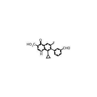 O=Cc1cccc(-c2c(F)cc3c(=O)c(C(=O)O)c[nH]c3c2C2CC2)c1